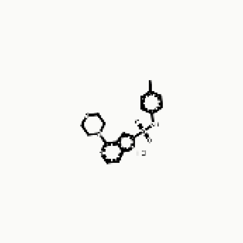 Cc1ccc(NS(=O)(=O)c2cc3c(N4CCNCC4)nccc3s2)cc1.Cl